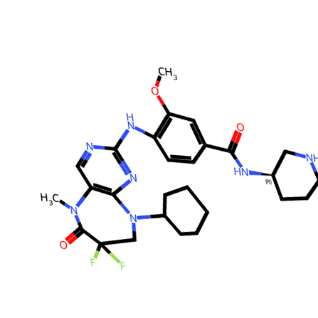 COc1cc(C(=O)N[C@@H]2CCCNC2)ccc1Nc1ncc2c(n1)N(C1CCCCC1)CC(F)(F)C(=O)N2C